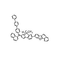 CC1(C)c2cc(-c3ccc4c(c3)oc3c5ccccc5ccc43)ccc2-c2ccc(N(c3ccc(-c4ccc(-c5ccccc5)cc4)cc3)c3cccc4ccccc34)cc21